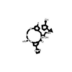 C#Cc1cccc(C2(NCC(O)C3Cc4cc(F)cc(c4)OCCCCN(CCC)Cc4cc(cc(-c5ncco5)c4)C(=O)N3)CC2)c1